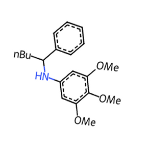 CCCCC(Nc1cc(OC)c(OC)c(OC)c1)c1ccccc1